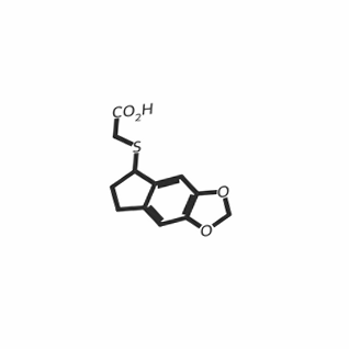 O=C(O)CSC1CCc2cc3c(cc21)OCO3